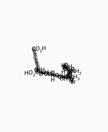 Cc1ccc(Br)nc1NC(=O)[C@@H]1C[C@H](CNC(=O)COCCOCCNC(=O)COCCOCCNC(=O)CC[C@H](NC(=O)CCCCCCCCCCCCCCCCC(=O)O)C(=O)O)CN1C(=O)Cn1nc(C(N)=O)c2ccc(C(=O)NS(=O)(=O)C3CC3)cc21